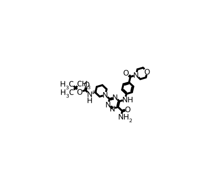 CC(C)(C)OC(=O)N[C@@H]1CCCN(c2nnc(C(N)=O)c(Nc3ccc(C(=O)N4CCOCC4)cc3)n2)C1